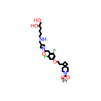 CC(C)OC(=O)N1CCC2(CCC2CCOc2cc(F)c(CC(=O)N3CC(CNCCCC[C@H](O)CO)C3)c(F)c2)CC1